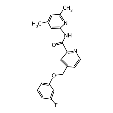 Cc1cc(C)nc(NC(=O)c2cc(COc3cccc(F)c3)ccn2)c1